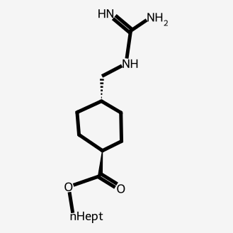 CCCCCCCOC(=O)[C@H]1CC[C@H](CNC(=N)N)CC1